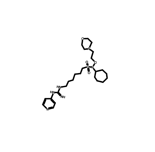 N=C(NCCCCCCS(=O)(=O)N(OCCN1CCOCC1)C1CCCCCC1)Nc1ccncc1